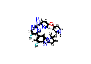 CN1CCC(Oc2ccc(Nc3ncc(F)c(-c4cc(F)c5nc6n(c5c4)C(C)(C)CC6)n3)nc2)CC1